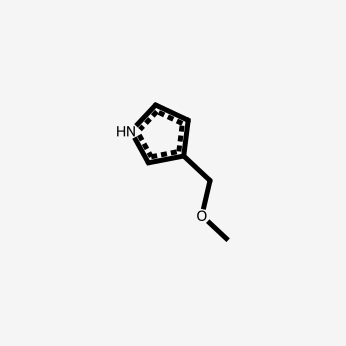 COCc1cc[nH]c1